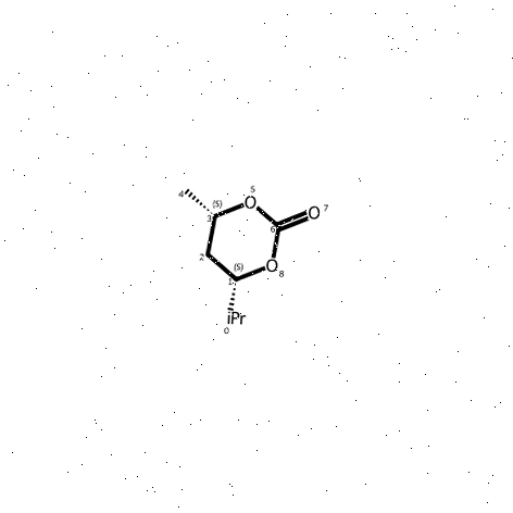 CC(C)[C@@H]1C[C@H](C)OC(=O)O1